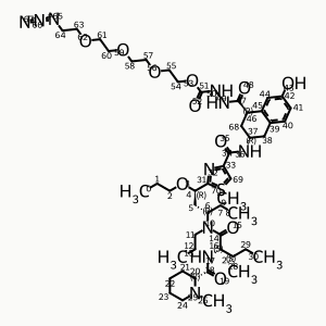 CCCO[C@H](C[C@H](C(C)C)N(CCC)C(=O)[C@@H](NC(=O)[C@H]1CCCCN1C)[C@@H](C)CC)c1nc(C(=O)N[C@H]2Cc3ccc(O)cc3[C@H](C(=O)NNC(=O)OCCOCCOCCOCCN=[N+]=[N-])C2)cs1